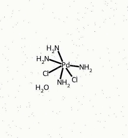 O.[NH2][Pd]([NH2])([NH2])([NH2])([Cl])[Cl]